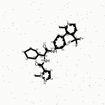 Cc1nccc(C(F)(F)F)c1-c1ccc(NC(=O)[C@@H](NC(=O)c2ccnn2C)C2CCCCC2)cc1